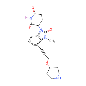 Cn1c(=O)n(C2CCC(=O)N(I)C2=O)c2cccc(C#CCOC3CCNCC3)c21